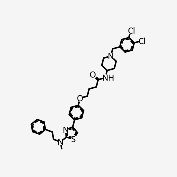 CN(CCc1ccccc1)c1nc(-c2ccc(OCCCC(=O)NC3CCN(Cc4ccc(Cl)c(Cl)c4)CC3)cc2)cs1